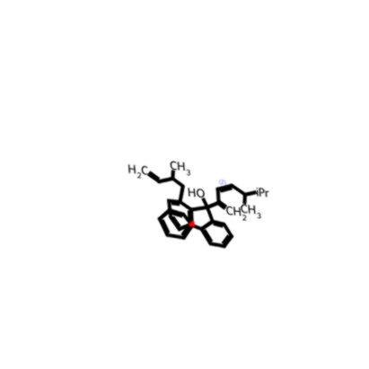 C=CC(C)Cc1ccccc1C(O)(C(=C)/C=C\C(C)C(C)C)c1ccccc1-c1ccccc1